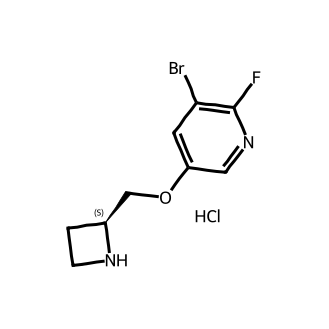 Cl.Fc1ncc(OC[C@@H]2CCN2)cc1Br